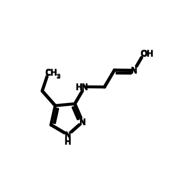 CCc1c[nH]nc1NCC=NO